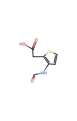 O=CNc1ccsc1CC(=O)O